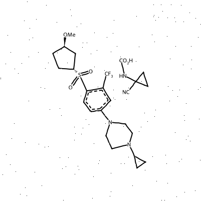 CO[C@@H]1CC[C@@H](S(=O)(=O)c2ccc(N3CCN(C4CC4)CC3)cc2C(F)(F)F)C1.N#CC1(NC(=O)O)CC1